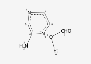 CCOC=O.Nc1cnccn1